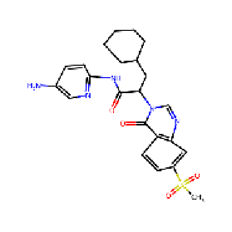 CS(=O)(=O)c1ccc2c(=O)n(C(CC3CCCCC3)C(=O)Nc3ccc(N)cn3)cnc2c1